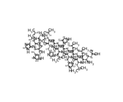 CC(C)C[C@H](NC(=O)[C@H](CC(C)C)NC(=O)[C@H](Cc1c[nH]cn1)NC(=O)[C@H](Cc1c[nH]cn1)NC(=O)[C@H](CC(C)C)NC(=O)[C@H](CC(C)C)NC(=O)[C@H](Cc1c[nH]cn1)NC(=O)[C@H](CC(C)C)NC(=O)[C@H](CC(C)C)NC(=O)[C@@H](N)CCC(=O)O)C(=O)N[C@@H](Cc1c[nH]cn1)C(=O)N[C@@H](Cc1c[nH]cn1)C(=O)O